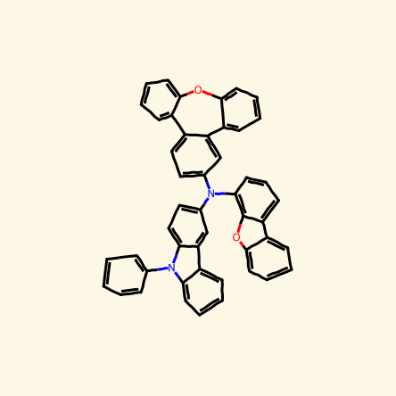 c1ccc(-n2c3ccccc3c3cc(N(c4ccc5c(c4)-c4ccccc4Oc4ccccc4-5)c4cccc5c4oc4ccccc45)ccc32)cc1